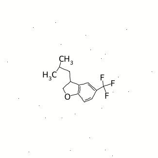 CC(C)CC1COc2ccc(C(F)(F)F)cc21